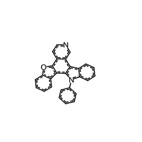 c1ccc(-n2c3ccccc3c3c4cnccc4c4oc5ccccc5c4c32)cc1